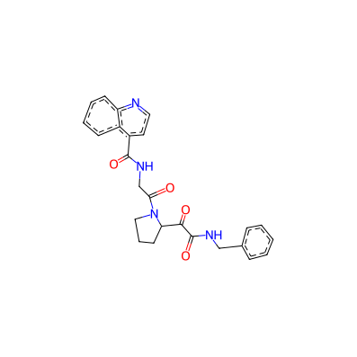 O=C(NCc1ccccc1)C(=O)C1CCCN1C(=O)CNC(=O)c1ccnc2ccccc12